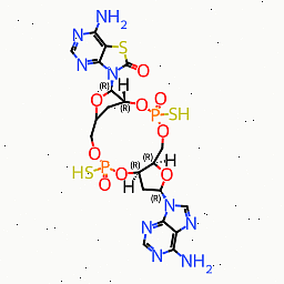 Nc1ncnc2c1ncn2[C@H]1C[C@H]2OP(=O)(S)OCC3C[C@@H](OP(=O)(S)OC[C@H]2O1)[C@H](n1c(=O)sc2c(N)ncnc21)O3